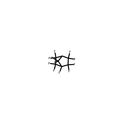 FC1(F)[C]2C(F)(F)C(F)(F)C(F)(C2(F)F)C1(F)F